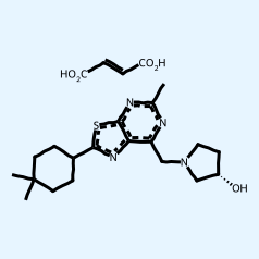 Cc1nc(CN2CC[C@H](O)C2)c2nc(C3CCC(C)(C)CC3)sc2n1.O=C(O)C=CC(=O)O